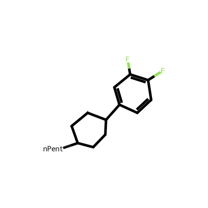 CCCCCC1C[CH]C(c2ccc(F)c(F)c2)CC1